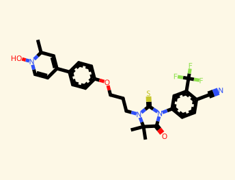 CC1C=C(c2ccc(OCCCN3C(=S)N(c4ccc(C#N)c(C(F)(F)F)c4)C(=O)C3(C)C)cc2)C=CN1O